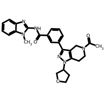 CC(=O)N1CCc2c(c(-c3cccc(C(=O)Nc4nc5ccccc5n4C)c3)nn2C2CCOC2)C1